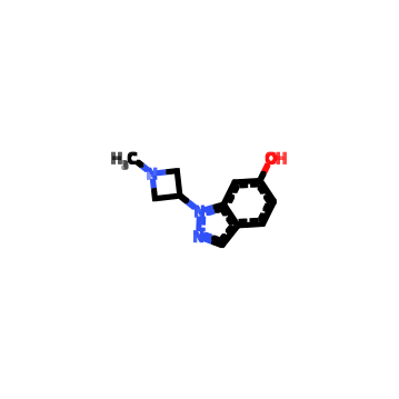 CN1CC(n2ncc3ccc(O)cc32)C1